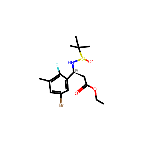 CCOC(=O)C[C@H](N[S+]([O-])C(C)(C)C)c1cc(Br)cc(C)c1F